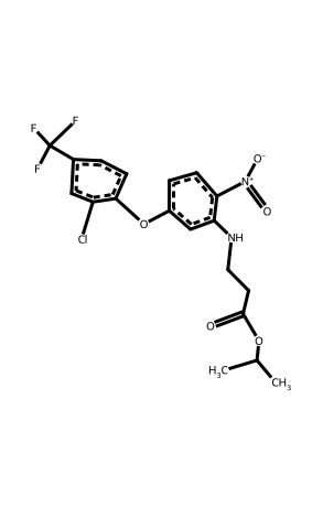 CC(C)OC(=O)CCNc1cc(Oc2ccc(C(F)(F)F)cc2Cl)ccc1[N+](=O)[O-]